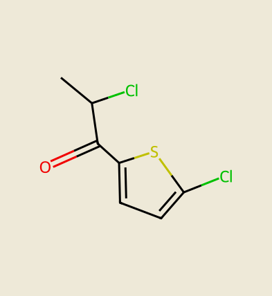 CC(Cl)C(=O)c1ccc(Cl)s1